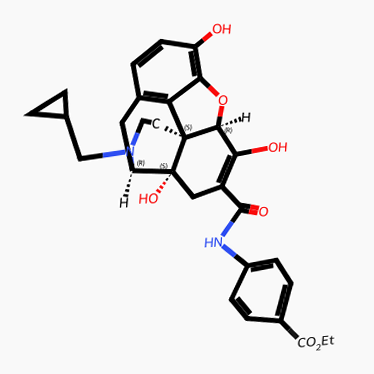 CCOC(=O)c1ccc(NC(=O)C2=C(O)[C@@H]3Oc4c(O)ccc5c4[C@@]34CCN(CC3CC3)[C@H](C5)[C@]4(O)C2)cc1